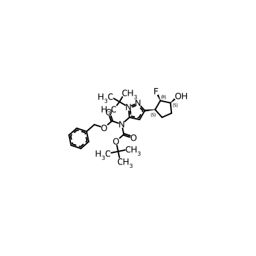 CC(C)(C)OC(=O)N(C(=O)OCc1ccccc1)c1cc([C@@H]2CC[C@H](O)[C@@H]2F)nn1C(C)(C)C